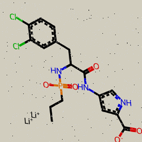 CCCP(=O)([O-])NC(Cc1ccc(Cl)c(Cl)c1)C(=O)Nc1c[nH]c(C(=O)[O-])c1.[Li+].[Li+]